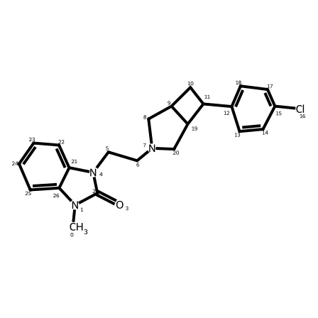 Cn1c(=O)n(CCN2CC3CC(c4ccc(Cl)cc4)C3C2)c2ccccc21